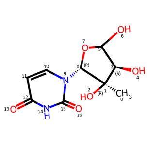 C[C@@]1(O)[C@H](O)C(O)O[C@H]1n1ccc(=O)[nH]c1=O